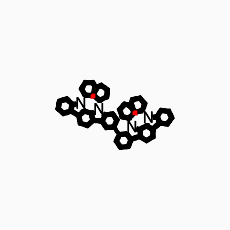 c1ccc(-n2c3ccccc3c3ccc4c5cc(-c6cccc7c8ccc9c%10ccccc%10n(-c%10ccccc%10)c9c8n(-c8ccccc8)c67)ccc5n(-c5ccccc5)c4c32)cc1